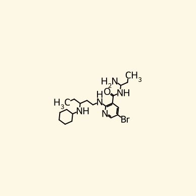 CCC(N)NC(=O)c1cc(Br)cnc1NCCC(CC)NC1CCCCC1